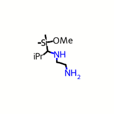 CO[Si](C)(C)C(NCCN)C(C)C